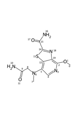 COc1ncc(N(C)CC(N)=O)c2sc(C(N)=O)nc12